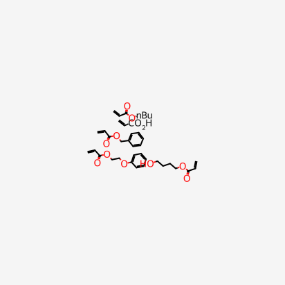 C=CC(=O)O.C=CC(=O)OCCCC.C=CC(=O)OCCCCO.C=CC(=O)OCCOc1ccccc1.C=CC(=O)OCc1ccccc1